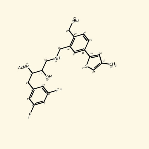 CC(=O)NC(Cc1cc(F)cc(F)c1)C(O)CNCc1cc(-c2cc(C)cs2)ccc1CC(C)(C)C